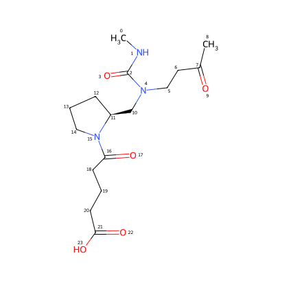 CNC(=O)N(CCC(C)=O)C[C@@H]1CCCN1C(=O)CCCC(=O)O